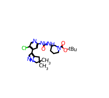 CC1(C)Cc2c(-c3cc(NC(=O)N[C@@H]4CCCN(C(=O)OC(C)(C)C)C4)ncc3Cl)cnn2C1